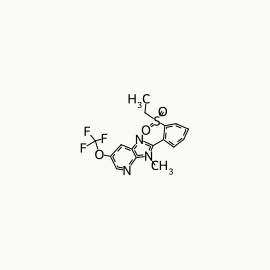 CCS(=O)(=O)c1ccccc1-c1nc2cc(OC(F)(F)F)cnc2n1C